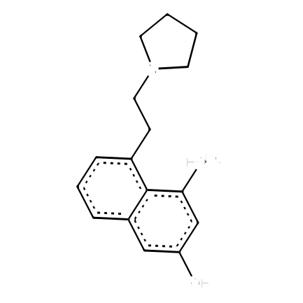 Cl.Oc1cc(O)c2c(CCN3CCCC3)cccc2c1